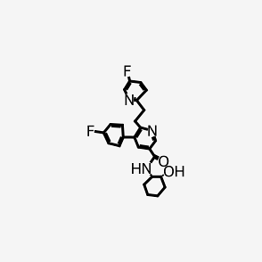 O=C(N[C@@H]1CCCC[C@H]1O)c1cnc(CCc2ccc(F)cn2)c(-c2ccc(F)cc2)c1